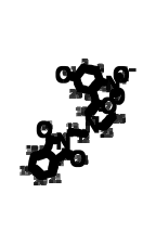 O=C1C=CC([N+](=O)[O-])=C(C2=CN(CCN3C(=O)c4ccccc4C3=O)C=CO2)C1